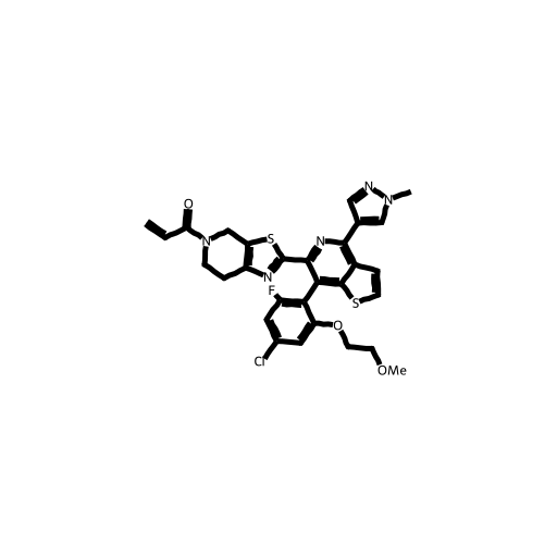 C=CC(=O)N1CCc2nc(-c3nc(-c4cnn(C)c4)c4ccsc4c3-c3c(F)cc(Cl)cc3OCCOC)sc2C1